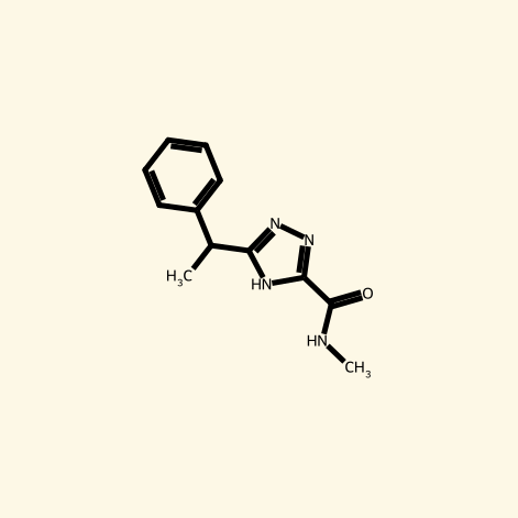 CNC(=O)c1nnc(C(C)c2ccccc2)[nH]1